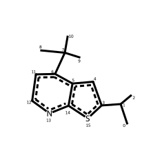 CC(C)c1cc2c(C(C)(C)C)ccnc2s1